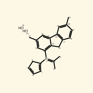 C[C](C)=[Zr]([C]1=CC=CC1)[c]1cc(C)cc2c1Cc1ccc(C)cc1-2.Cl.Cl